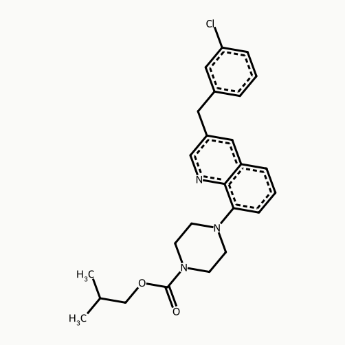 CC(C)COC(=O)N1CCN(c2cccc3cc(Cc4cccc(Cl)c4)cnc23)CC1